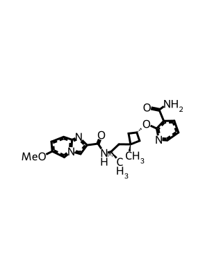 COc1ccc2nc(C(=O)N[C@H](C)C[C@]3(C)C[C@H](Oc4ncccc4C(N)=O)C3)cn2c1